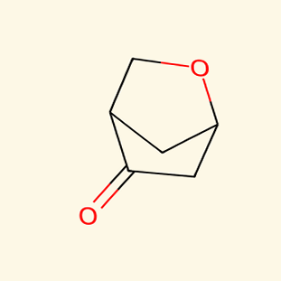 O=C1CC2CC1CO2